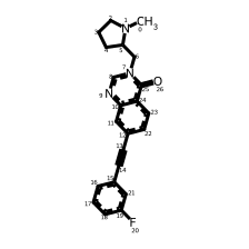 CN1CCCC1Cn1cnc2cc(C#Cc3cccc(F)c3)ccc2c1=O